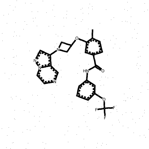 Cc1ccc(C(=O)Nc2cccc(OC(F)(F)F)c2)cc1OC1CN(c2cnn3ccncc23)C1